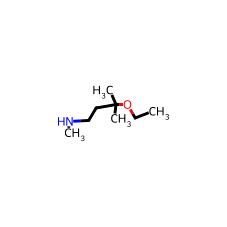 CCOC(C)(C)CCNC